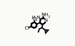 CCC(c1cnc(N)c(N)c1-c1ccc(Cl)cc1Cl)C1CC1